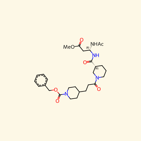 COC(=O)C[C@H](NC(C)=O)NC(=O)[C@@H]1CCCN(C(=O)CCC2CCN(C(=O)OCc3ccccc3)CC2)C1